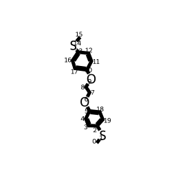 CSc1ccc(OCCOc2ccc(SC)cc2)cc1